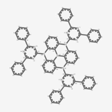 c1ccc(-c2nc(-c3ccccc3)nc(N3c4cccc5c4B4c6c3cccc6N(c3nc(-c6ccccc6)nc(-c6ccccc6)n3)c3cccc(c34)N5c3nc(-c4ccccc4)nc(-c4ccccc4)n3)n2)cc1